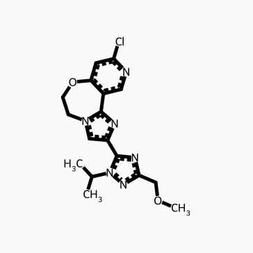 COCc1nc(-c2cn3c(n2)-c2cnc(Cl)cc2OCC3)n(C(C)C)n1